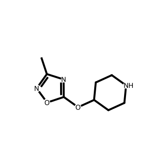 Cc1noc(OC2CCNCC2)n1